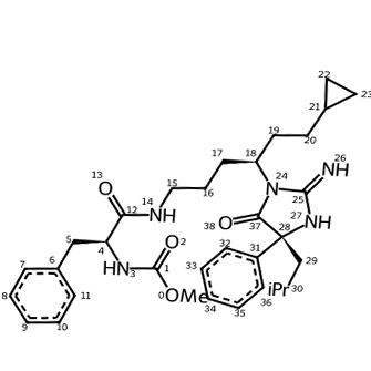 COC(=O)N[C@@H](Cc1ccccc1)C(=O)NCCC[C@@H](CCC1CC1)N1C(=N)N[C@](CC(C)C)(c2ccccc2)C1=O